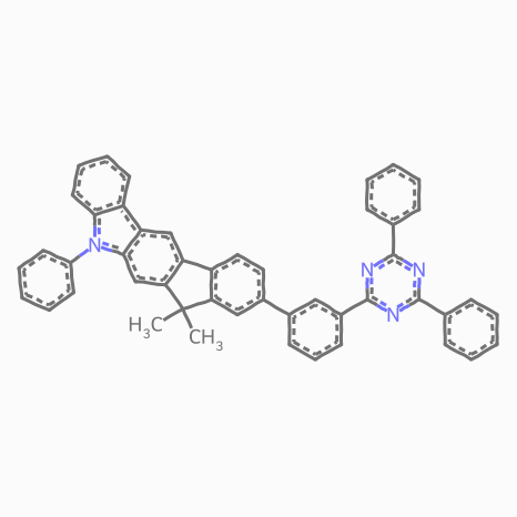 CC1(C)c2cc(-c3cccc(-c4nc(-c5ccccc5)nc(-c5ccccc5)n4)c3)ccc2-c2cc3c4ccccc4n(-c4ccccc4)c3cc21